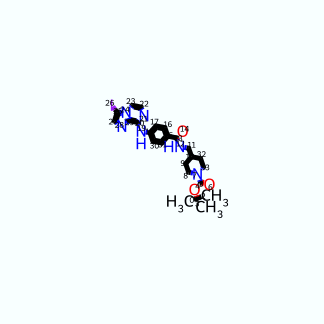 CC(C)(C)OC(=O)N1CCC(CNC(=O)c2ccc(Nc3nccn4c(I)cnc34)cc2)CC1